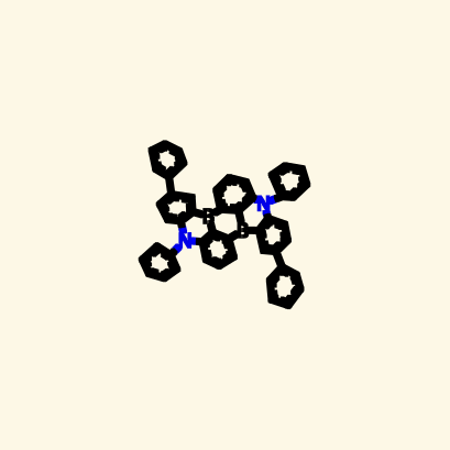 c1ccc(-c2ccc3c(c2)B2c4cccc5c4B(c4cc(-c6ccccc6)ccc4N5c4ccccc4)c4cccc(c42)N3c2ccccc2)cc1